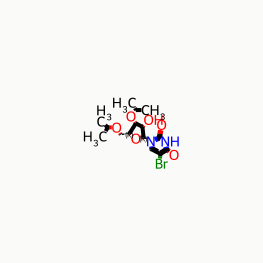 CC(C)OC[C@H]1O[C@@H](n2cc(Br)c(=O)[nH]c2=O)C(O)C1OC(C)C